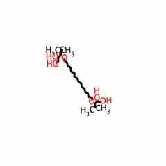 CC(C)=C(OCCCCCCCCCCCCCCCCOC(=C(C)C)C(O)CO)C(O)CO